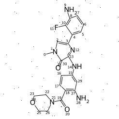 Cn1cc(-c2cccc(N)c2F)nc(Nc2ccc(C(=O)N3CCOCC3)c(N)c2)c1=O